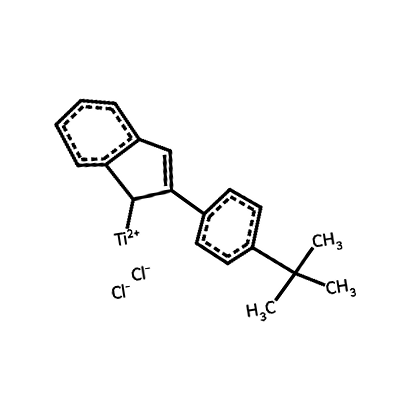 CC(C)(C)c1ccc(C2=Cc3ccccc3[CH]2[Ti+2])cc1.[Cl-].[Cl-]